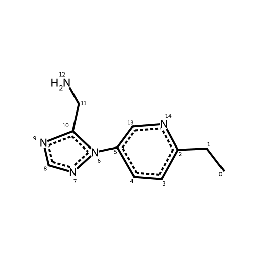 CCc1ccc(-n2ncnc2CN)cn1